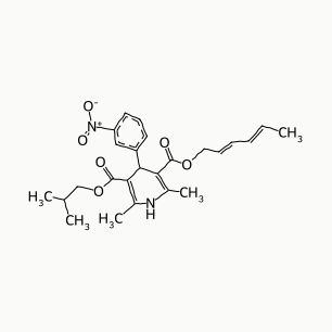 C/C=C/C=C/COC(=O)C1=C(C)NC(C)=C(C(=O)OCC(C)C)C1c1cccc([N+](=O)[O-])c1